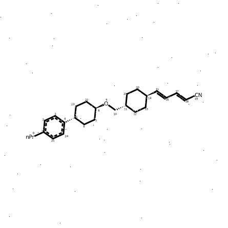 CCCc1ccc([C@H]2CC[C@H](OC[C@H]3CC[C@H](C=CC=CC#N)CC3)CC2)cc1